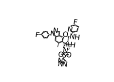 Cc1cc2c(cnn2-c2ccc(F)cc2)cc1[C@]12CN(S(=O)(=O)c3cnn(C)n3)C[C@H]1C2C(=O)Nc1ccc(F)cn1